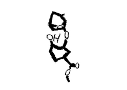 COC(=O)c1ccc(O)c(OC2CC3CCC2O3)c1